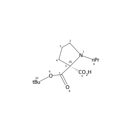 CCCN1CCC[C@]1(C(=O)O)C(=O)OC(C)(C)C